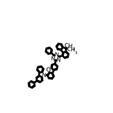 CC1(C)c2ccccc2-c2c(-c3nc(-c4ccccc4)nc(-c4ccc5c(c4)oc4c(-n6c7ccccc7c7cc(-c8ccccc8)ccc76)cccc45)n3)cccc21